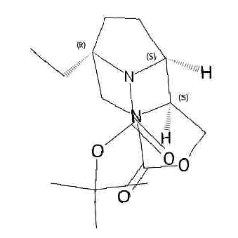 CC[C@@]12CC[C@@H]([C@H]3COC(=O)N3C1)N2C(=O)OC(C)(C)C